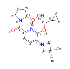 O=C(c1ccc(N2CC(F)(F)C2)c(OCC2CC2)n1)N1CCCC1OO